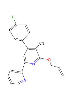 C=CCOc1nc(-c2ccccn2)cc(-c2ccc(F)cc2)c1C#N